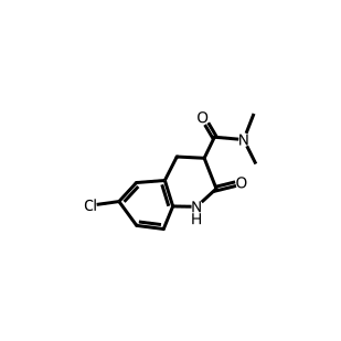 CN(C)C(=O)C1Cc2cc(Cl)ccc2NC1=O